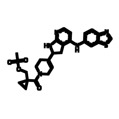 CS(=O)(=O)OCC1(C(=O)N2CC=C(C3Cc4c(Nc5ccc6ncsc6c5)ccnc4N3)CC2)CC1